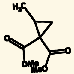 COC(=O)C1(C(=O)OC)CC1C